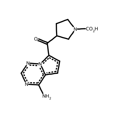 Nc1ncnn2c(C(=O)C3CCN(C(=O)O)C3)ccc12